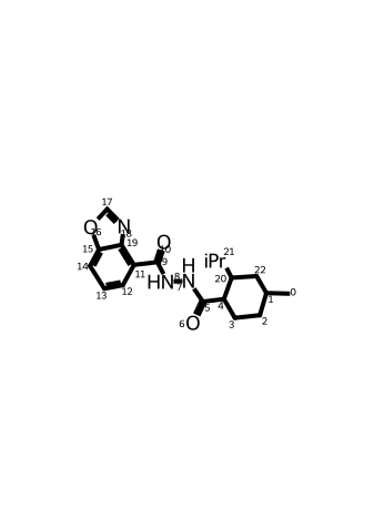 CC1CCC(C(=O)NNC(=O)c2cccc3ocnc23)C(C(C)C)C1